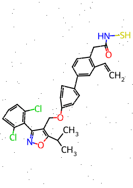 C=Cc1cc(-c2ccc(OCc3c(-c4c(Cl)cccc4Cl)noc3C(C)C)cc2)ccc1CC(=O)NS